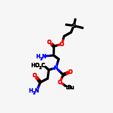 CC(C)(C)OC(=O)N(CC(N)C(=O)OCC[Si](C)(C)C)C(CC(N)=O)C(=O)O